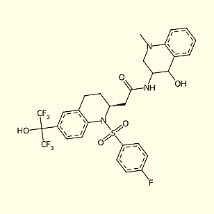 CN1CC(NC(=O)C[C@@H]2CCc3cc(C(O)(C(F)(F)F)C(F)(F)F)ccc3N2S(=O)(=O)c2ccc(F)cc2)C(O)c2ccccc21